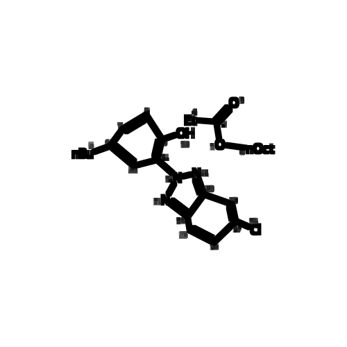 CCCCCCCCOC(=O)CC.CCCCc1ccc(O)c(-n2nc3ccc(Cl)cc3n2)c1